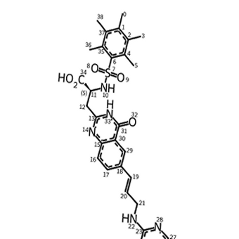 Cc1c(C)c(C)c(S(=O)(=O)N[C@@H](Cc2nc3ccc(C=CCNc4ccccn4)cc3c(=O)[nH]2)C(=O)O)c(C)c1C